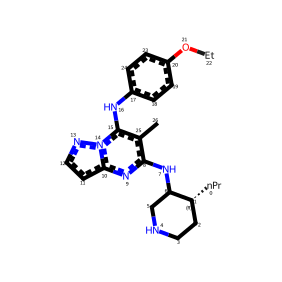 CCC[C@@H]1CCNCC1Nc1nc2ccnn2c(Nc2ccc(OCC)cc2)c1C